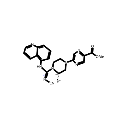 COC(=O)c1cnc(N2CCN(/C(=N\C#N)Nc3cccc4ncccc34)[C@@H](C(C)C)C2)cn1